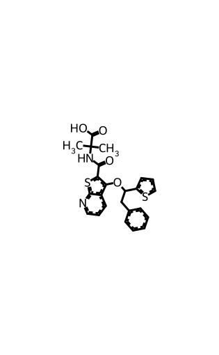 CC(C)(NC(=O)c1sc2ncccc2c1OC(Cc1ccccc1)c1cccs1)C(=O)O